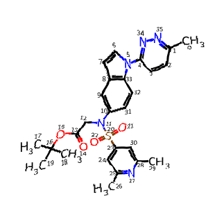 Cc1ccc(-n2ccc3cc(N(CC(=O)OC(C)(C)C)S(=O)(=O)c4cc(C)nc(C)c4)ccc32)nn1